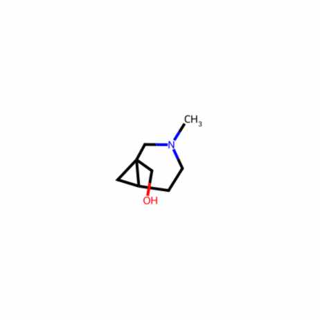 CN1CCC2CC2(CO)C1